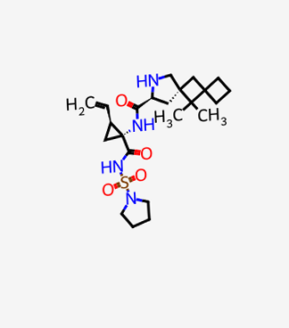 C=C[C@@H]1C[C@]1(NC(=O)[C@@H]1C[C@]2(CN1)CC1(CCC1)C2(C)C)C(=O)NS(=O)(=O)N1CCCC1